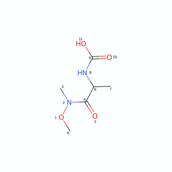 CON(C)C(=O)C(C)NC(=O)O